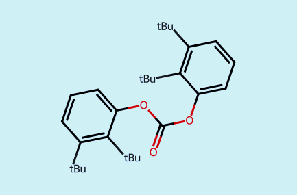 CC(C)(C)c1cccc(OC(=O)Oc2cccc(C(C)(C)C)c2C(C)(C)C)c1C(C)(C)C